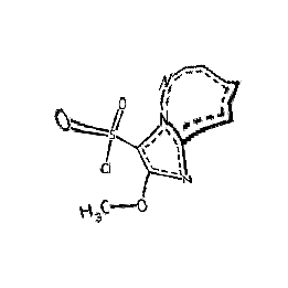 COc1nc2cccnn2c1S(=O)(=O)Cl